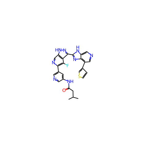 CC(C)CC(=O)Nc1cncc(-c2ncc3[nH]nc(-c4nc5c(-c6ccsc6)cncc5[nH]4)c3c2F)c1